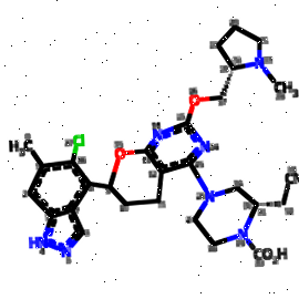 Cc1cc2[nH]ncc2c(C2CCc3c(nc(OC[C@@H]4CCCN4C)nc3N3CCN(C(=O)O)[C@@H](CC#N)C3)O2)c1Cl